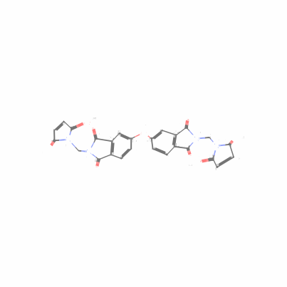 O=C1C=CC(=O)N1CN1C(=O)c2ccc(Oc3ccc4c(c3)C(=O)N(CN3C(=O)C=CC3=O)C4=O)cc2C1=O